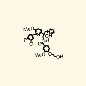 COc1cc(C(=O)NCC(O)(Cn2cccn2)c2ccc(OC)c(-c3ccc(F)c(Cl)c3)n2)ccc1OCCO